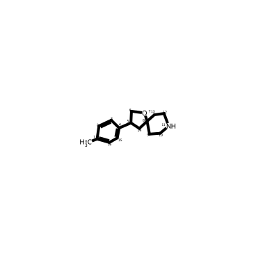 Cc1ccc(C2COC3(CCNCC3)C2)cc1